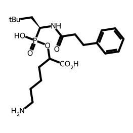 CC(C)(C)C[C@@H](NC(=O)CCc1ccccc1)P(=O)(O)OC(CCCCN)C(=O)O